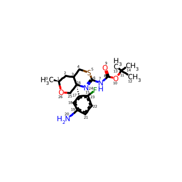 C[C@H]1CC2CSC(NC(=O)OC(C)(C)C)=N[C@@]2(c2cc(N)ccc2F)CO1